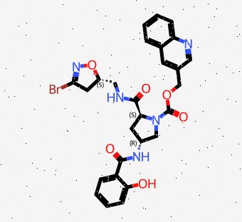 O=C(N[C@@H]1C[C@@H](C(=O)NC[C@@H]2CC(Br)=NO2)N(C(=O)OCc2cnc3ccccc3c2)C1)c1ccccc1O